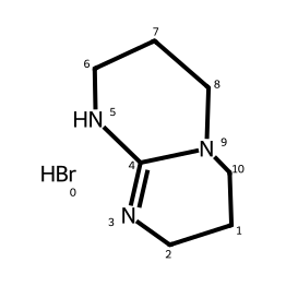 Br.C1CN=C2NCCCN2C1